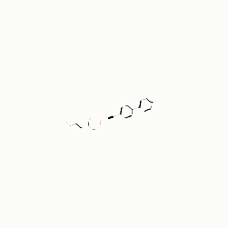 CCC=C[C@H]1CO[C@H](C#Cc2ccc(-c3ccc(Cl)cc3)cc2)OC1